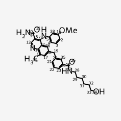 COc1cccc(Nc2c(C(N)=O)cnc3c(C)cc(Cc4cccc(C(=O)NCCCCCCO)c4)cc23)c1